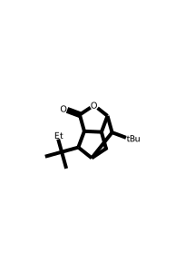 CCC(C)(C)C1C2CC3C(OC(=O)C31)C2C(C)(C)C